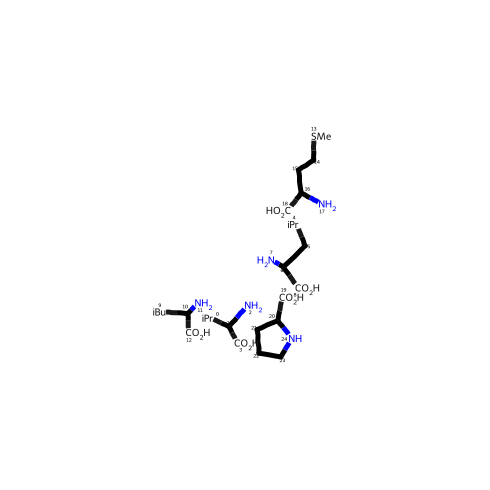 CC(C)C(N)C(=O)O.CC(C)CC(N)C(=O)O.CCC(C)C(N)C(=O)O.CSCCC(N)C(=O)O.O=C(O)C1CCCN1